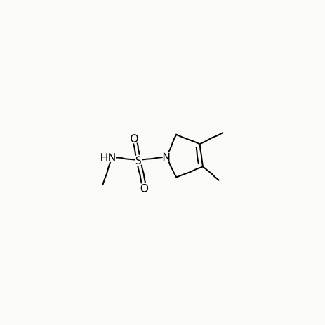 CNS(=O)(=O)N1CC(C)=C(C)C1